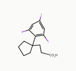 O=C(O)CCC1(c2c(I)cc(I)cc2I)CCCC1